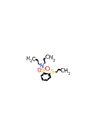 C=CCSc1ccccc1S(=O)(=O)N(CC=C)CC=C